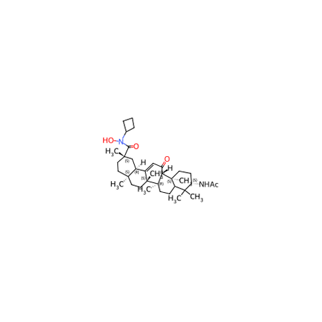 CC(=O)N[C@H]1CC[C@@]2(C)C(CC[C@]3(C)[C@@H]2C(=O)C=C2[C@@H]4C[C@@](C)(C(=O)N(O)C5CCC5)CC[C@]4(C)CC[C@]23C)C1(C)C